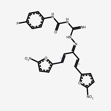 N=C(NN=C(/C=C/c1ccc([N+](=O)[O-])o1)/C=C/c1ccc([N+](=O)[O-])o1)NC(=O)Nc1ccc(F)cc1